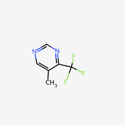 Cc1cn[c]nc1C(F)(F)F